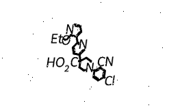 CCOc1ncccc1-c1ccc(C2(C(=O)O)CCN(c3ccc(Cl)cc3C#N)CC2)cn1